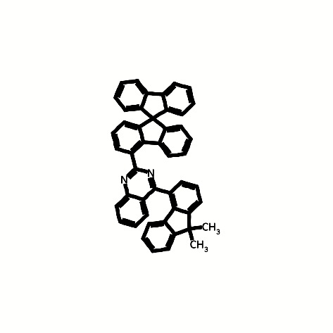 CC1(C)c2ccccc2-c2c(-c3nc(-c4cccc5c4-c4ccccc4C54c5ccccc5-c5ccccc54)nc4ccccc34)cccc21